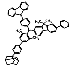 Cc1cc(-c2ccc(C34CC5CC(CC(C5)C3)C4)cc2)cc(C)c1N(c1ccc(-n2c3ccccc3c3ccccc32)cc1)c1ccc2c(c1)C(C)(C)c1cc(-c3ccccc3)ccc1-2